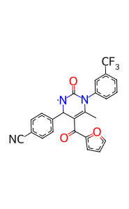 CC1=C(C(=O)c2ccco2)C(c2ccc(C#N)cc2)[N]C(=O)N1c1cccc(C(F)(F)F)c1